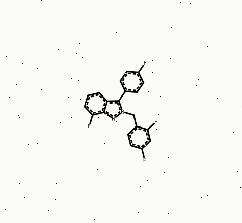 Fc1ccc(-c2c3cccc(F)c3nn2Cc2ccc(F)cc2F)cc1